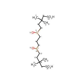 CC(C)(CC[S+]([O-])CCC[S+]([O-])CCC(C)(C)CS(=O)(=O)O)CS(=O)(=O)O